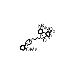 COc1ccccc1N1CCN(CCCCOC(=O)c2c(C)nc(C)c([N+](=O)[O-])c2-c2cccc3nonc23)CC1